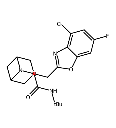 CC(C)(C)NC(=O)CN1C2CC1CN(Cc1nc3c(Cl)cc(F)cc3o1)C2